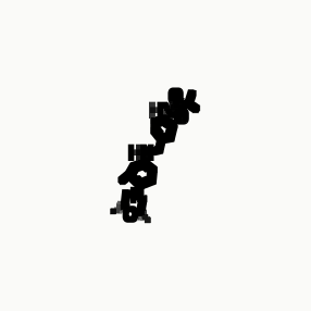 Cc1cc(NCc2ccc(NS(=O)(=O)C(C)C)cc2)ccc1N1C[C@@H](C)O[C@@H](C)C1